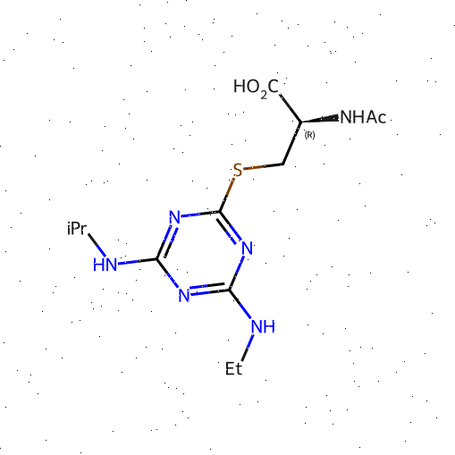 CCNc1nc(NC(C)C)nc(SC[C@H](NC(C)=O)C(=O)O)n1